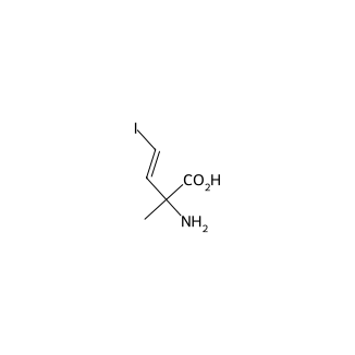 CC(N)(/C=C/I)C(=O)O